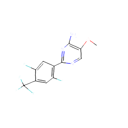 COc1cnc(-c2cc(F)c(C(F)(F)F)cc2F)nc1N